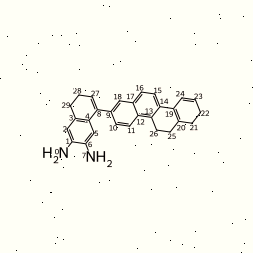 Nc1cc2c(cc1N)C(c1ccc3c4c(ccc3c1)C1=C(CCC=C1)CC4)=CCC2